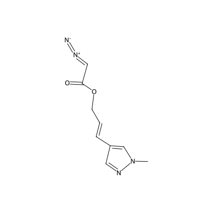 Cn1cc(C=CCOC(=O)C=[N+]=[N-])cn1